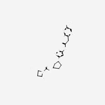 COc1cnc(CC(=O)Nc2cc([C@H]3CC[C@@H](OC(=O)N4[C@@H](C)C[C@@H]4C)C3)[nH]n2)cn1